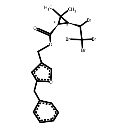 CC1(C)[C@H](C(=O)OCc2coc(Cc3ccccc3)c2)[C@@H]1C(Br)C(Br)(Br)Br